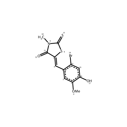 COc1cc(/C=C2\SC(=S)N(C)C2=O)c(Br)cc1O